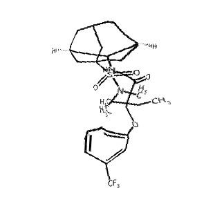 CN(C)S(=O)(=O)C12CC3C[C@H](C1)C(NC(=O)C(C)(C)Oc1cccc(C(F)(F)F)c1)[C@@H](C3)C2